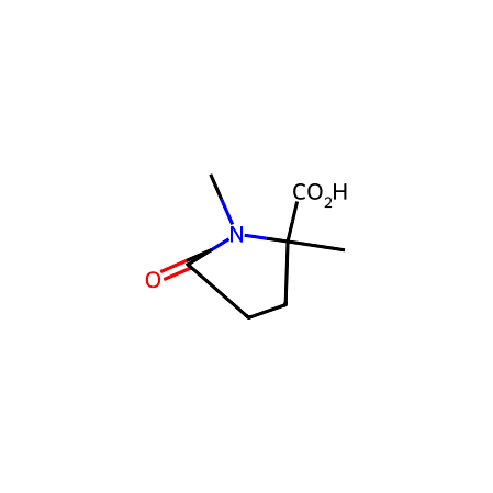 CN1C(=O)CCC1(C)C(=O)O